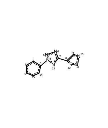 c1ccc(-n2nnc(-c3cncs3)n2)cc1